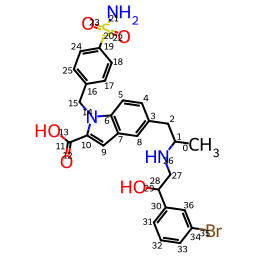 CC(Cc1ccc2c(c1)cc(C(=O)O)n2Cc1ccc(S(N)(=O)=O)cc1)NCC(O)c1cccc(Br)c1